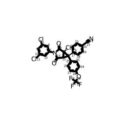 C[C@]12C(=O)N(c3cc(Cl)cc(Cl)c3)C(=O)C1[C@@]2(c1ccc(C#N)cc1)c1ccc(OC(F)(F)F)cc1